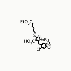 CCCCn1nc(SCCCCCC(=O)OCC)c(C(=O)O)c1Cc1cc2c(cc1Cl)OCO2